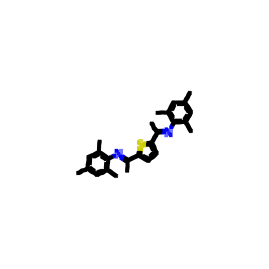 CC(=Nc1c(C)cc(C)cc1C)c1ccc(C(C)=Nc2c(C)cc(C)cc2C)s1